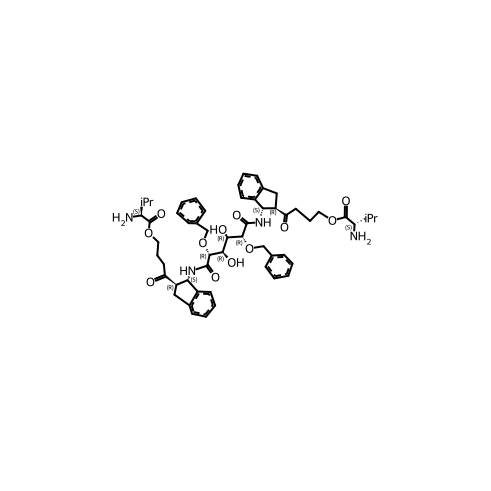 CC(C)[C@H](N)C(=O)OCCCC(=O)[C@@H]1Cc2ccccc2[C@H]1NC(=O)[C@H](OCc1ccccc1)[C@H](O)[C@@H](O)[C@@H](OCc1ccccc1)C(=O)N[C@@H]1c2ccccc2C[C@H]1C(=O)CCCOC(=O)[C@@H](N)C(C)C